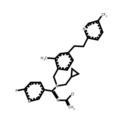 C=C(Cl)/N=C(/c1ccc(F)nc1)N(Cc1ccc(CCc2ccc(C(F)(F)F)cn2)cc1C)CC1CC1